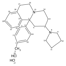 Cc1ccc(C23CC(N4CCCC4)CCN2CCc2ccccc23)cc1.Cl.Cl